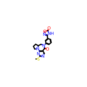 CSc1ncc2c(n1)N1CCCC1CN(c1cccc(-c3noc(=O)[nH]3)c1)C2=O